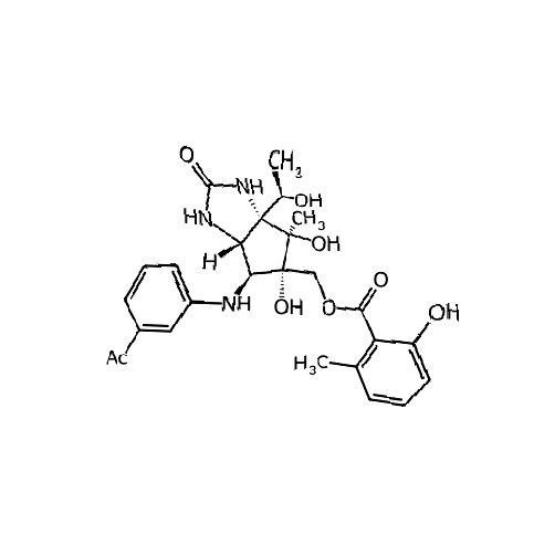 CC(=O)c1cccc(N[C@H]2[C@@H]3NC(=O)N[C@]3([C@@H](C)O)[C@@](C)(O)[C@@]2(O)COC(=O)c2c(C)cccc2O)c1